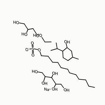 CC1CCC(C(C)C)C(O)C1.CCCCCCCCCCCCOS(=O)(=O)[O-].CCO.OCC(O)C(O)C(O)CO.OCC(O)CO.[Na+]